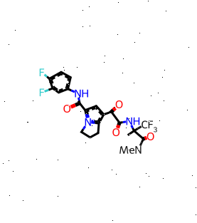 CNC(=O)C(C)(NC(=O)C(=O)c1cc(C(=O)Nc2ccc(F)c(F)c2)n2c1CCC2)C(F)(F)F